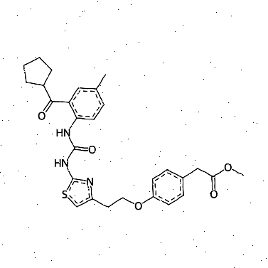 COC(=O)Cc1ccc(OCCc2csc(NC(=O)Nc3ccc(C)cc3C(=O)C3CCCC3)n2)cc1